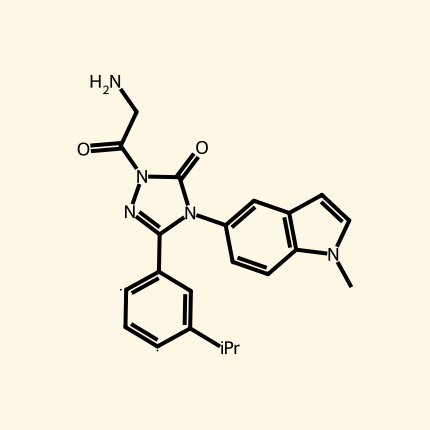 CC(C)c1[c]c[c]c(-c2nn(C(=O)CN)c(=O)n2-c2ccc3c(ccn3C)c2)c1